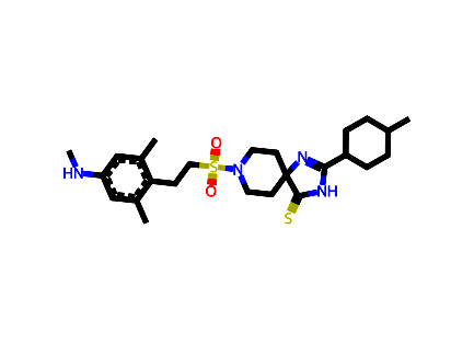 CNc1cc(C)c(CCS(=O)(=O)N2CCC3(CC2)N=C(C2CCC(C)CC2)NC3=S)c(C)c1